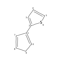 [C]1=C(c2cccs2)C=CC1